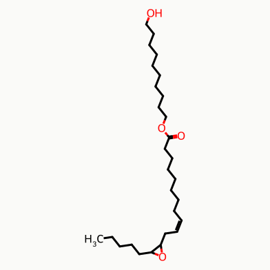 CCCCCC1OC1C/C=C\CCCCCCCC(=O)OCCCCCCCCCCO